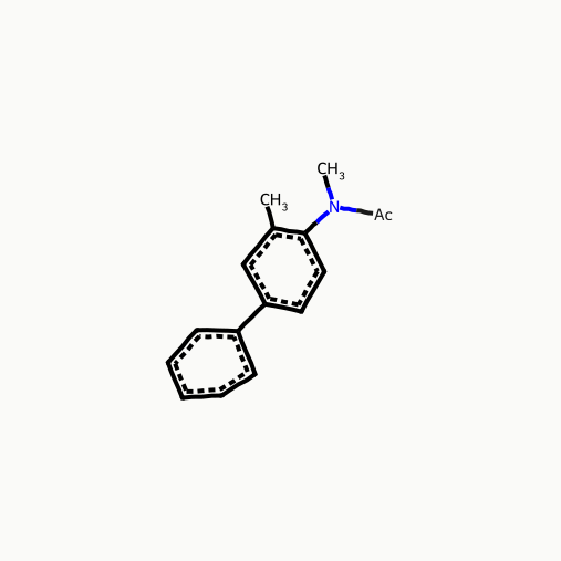 CC(=O)N(C)c1ccc(-c2ccccc2)cc1C